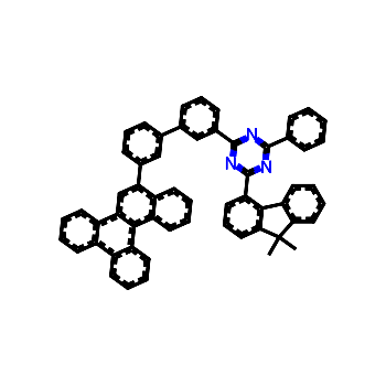 CC1(C)c2ccccc2-c2c(-c3nc(-c4ccccc4)nc(-c4cccc(-c5cccc(-c6cc7c8ccccc8c8ccccc8c7c7ccccc67)c5)c4)n3)cccc21